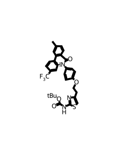 Cc1ccc(C(=O)Nc2ccc(OCCc3csc(NC(=O)OC(C)(C)C)n3)cc2)c(-c2ccc(C(F)(F)F)cc2)c1